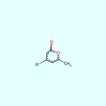 Cc1cc(Br)cc(=O)o1